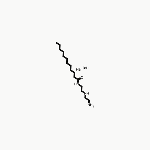 Br.Br.CCCCCCCCCCCC(=O)NCCNCCN